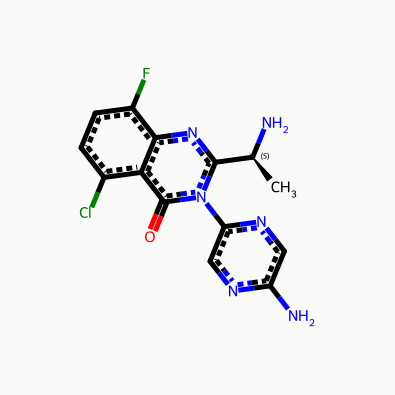 C[C@H](N)c1nc2c(F)ccc(Cl)c2c(=O)n1-c1cnc(N)cn1